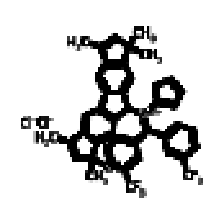 CC1=CC(C)(C)c2cc3c(cc21)-c1cc2c(cc1[CH]3[Zr+2]([C]1=CC=CC1)=[C](c1cccc(C(F)(F)F)c1)c1cccc(C(F)(F)F)c1)C(C)(C)C=C2C.[Cl-].[Cl-]